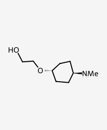 CN[C@H]1CC[C@H](OCCO)CC1